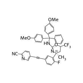 COc1ccc(C(NC2=N[C@](C)(c3cc(C#Cc4ccc(C#N)nc4)ccc3F)CC(C(F)(F)F)O2)(c2ccccc2)c2ccc(OC)cc2)cc1